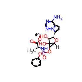 CC(C)OC(=O)[C@H](C)NP(=O)(Oc1ccccc1)OC1[C@H]2O[C@@H](c3ccc4c(N)ncnn34)[C@H](O)[C@@]12O